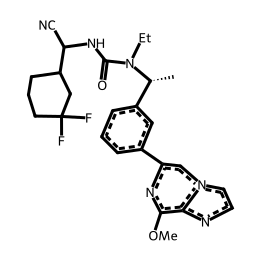 CCN(C(=O)NC(C#N)C1CCCC(F)(F)C1)[C@H](C)c1cccc(-c2cn3ccnc3c(OC)n2)c1